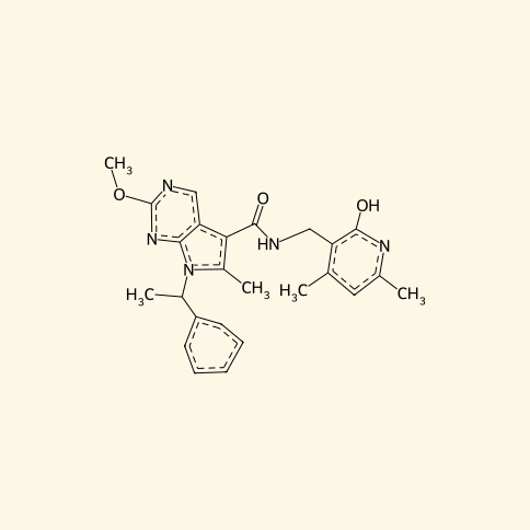 COc1ncc2c(C(=O)NCc3c(C)cc(C)nc3O)c(C)n(C(C)c3ccccc3)c2n1